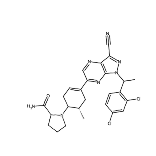 CC(c1ccc(Cl)cc1Cl)n1nc(C#N)c2ncc(C3=CCC(N4CCCC4C(N)=O)[C@@H](C)C3)nc21